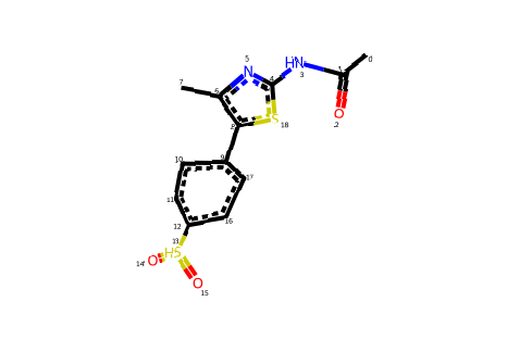 CC(=O)Nc1nc(C)c(-c2ccc([SH](=O)=O)cc2)s1